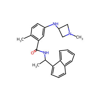 Cc1ccc(NC2CN(C)C2)cc1C(=O)NC(C)c1cccc2ccccc12